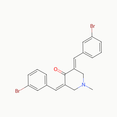 CN1CC(=Cc2cccc(Br)c2)C(=O)C(=Cc2cccc(Br)c2)C1